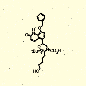 CC(C)(C)[Si](C)(C)OC(CN(CCCCCCO)C(=O)O)c1ccc(OCc2ccccc2)c2[nH]c(=O)ccc12